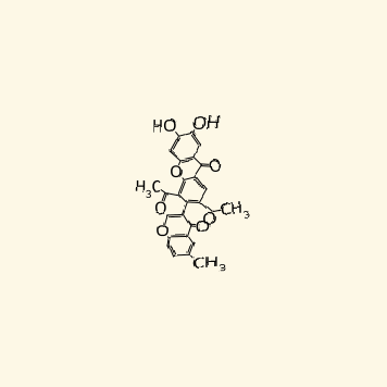 CC(=O)c1cc2c(=O)c3cc(O)c(O)cc3oc2c(C(C)=O)c1-c1coc2ccc(C)cc2c1=O